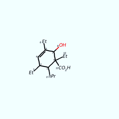 CCCC1C(CC)C=C(CC)C(O)C1(CC)C(=O)O